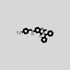 Cc1nc2ccc(NCc3ccc(C(F)(F)F)cc3)cc2c(=O)n1C(c1ccccc1)c1ccccc1